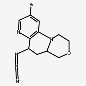 [N-]=[N+]=NC1CC2COCCN2c2cc(Br)cnc21